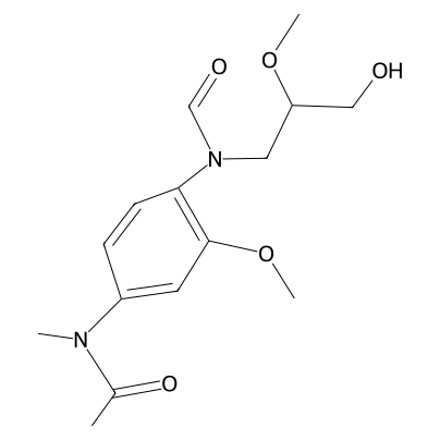 COc1cc(N(C)C(C)=O)ccc1N(C=O)CC(CO)OC